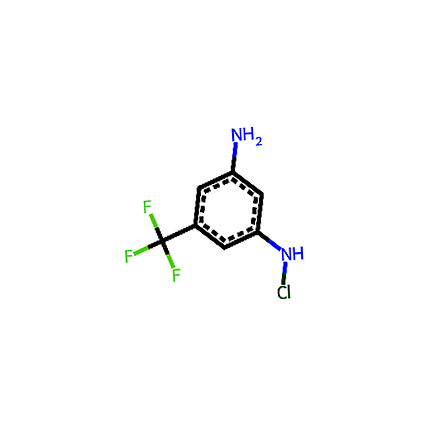 Nc1cc(NCl)cc(C(F)(F)F)c1